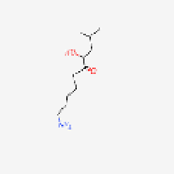 CC(C)CC(O)C(=O)CCCCCN